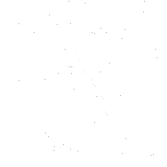 CC(C)(/C=C/c1nc2c(c(=O)[nH]1)CC1(CC2)CC1)N1CCN(c2ccc(F)cc2)CC1